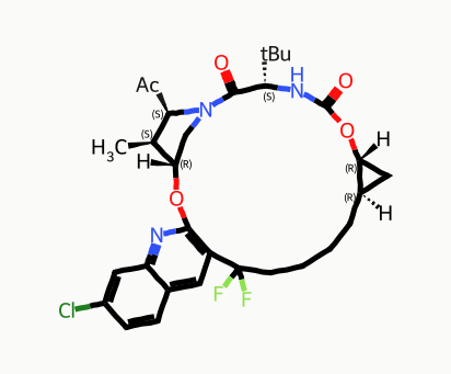 CC(=O)[C@@H]1[C@H](C)[C@@H]2CN1C(=O)[C@H](C(C)(C)C)NC(=O)O[C@@H]1C[C@H]1CCCCC(F)(F)c1cc3ccc(Cl)cc3nc1O2